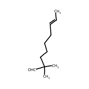 C/C=C/CCCCC(C)(C)C=O